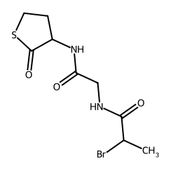 CC(Br)C(=O)NCC(=O)NC1CCSC1=O